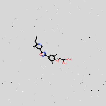 CCCc1ncc(-c2nc(-c3cc(C)c(OCC(O)CO)c(C)c3)no2)cc1C